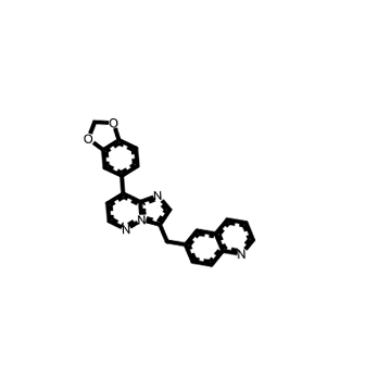 c1cnc2ccc(Cc3cnc4c(-c5ccc6c(c5)OCO6)ccnn34)cc2c1